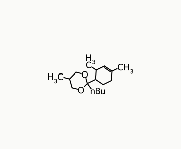 CCCCC1(C2CCC(C)=CC2C)OCC(C)CO1